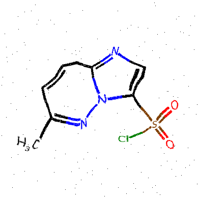 Cc1ccc2ncc(S(=O)(=O)Cl)n2n1